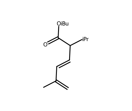 C=C(C)/C=C/C(C(=O)OCC(C)C)C(C)C